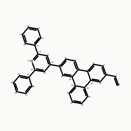 C=Cc1ccc2c3ccc(-c4cc(-c5ccccc5)nc(-c5ccccc5)c4)cc3c3ccccc3c2c1